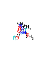 CCn1ccc(C)c(N2C[C@@H](c3c(F)cc(OC)cc3F)[C@H](NC(=O)c3ccc(OC(F)(F)F)cc3)C2=O)c1=O